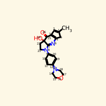 CC1=CC2=C(C1)N=C1N(c3ccc(N4CCOCC4)cc3)CCC1(O)C2=O